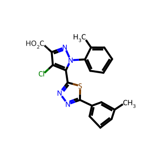 Cc1cccc(-c2nnc(-c3c(Cl)c(C(=O)O)nn3-c3ccccc3C)s2)c1